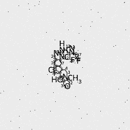 C[C@@]1(N2CC[C@@H](c3cc4nc(Nc5cnn(C6CC6(F)F)c5Cl)ncc4cc3Cl)C(F)C2)COCC1O